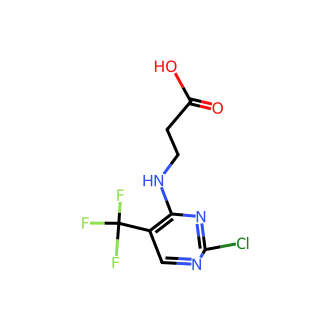 O=C(O)CCNc1nc(Cl)ncc1C(F)(F)F